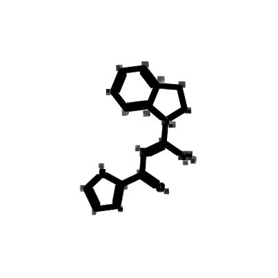 NC(=NC(=O)c1cccs1)N1CCc2ccccc21